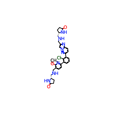 COc1nc(-c2cccc(-c3ccc4nc(CNC[C@@H]5CCC(=O)N5)cn4n3)c2Cl)ccc1CNC[C@@H]1CCC(=O)N1